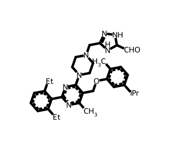 CCc1cccc(CC)c1-c1nc(C)c(COc2cc(C(C)C)ccc2C)c(N2CCN(CC3=NNC(C=O)N3)CC2)n1